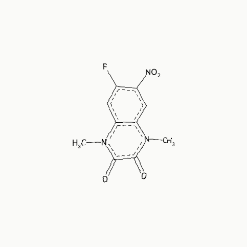 Cn1c(=O)c(=O)n(C)c2cc([N+](=O)[O-])c(F)cc21